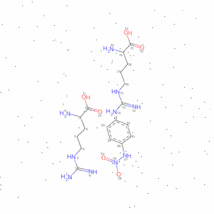 N=C(N)NCCCC(N)C(=O)O.N=C(N)NCCCC(N)C(=O)O.O=[N+]([O-])Nc1ccccc1